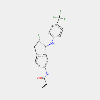 C=CC(=O)Nc1ccc2c(c1)C(Nc1ccc(C(F)(F)F)cc1)C(F)C2